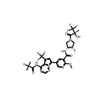 COc1ncc(-c2cc(C(F)(F)F)c3c(NC(=O)C(C)(C)F)ncnn23)cc1C(=O)N[C@@H]1CN(C(=O)[C@@](C)(O)C(F)(F)F)C[C@@H]1F